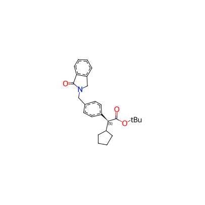 CC(C)(C)OC(=O)[C@H](c1ccc(CN2Cc3ccccc3C2=O)cc1)C1CCCC1